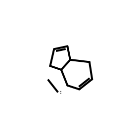 C1=CCC2CC=CC2C1.[CH]C